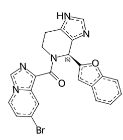 O=C(c1ncn2ccc(Br)cc12)N1CCc2[nH]cnc2[C@H]1c1cc2ccccc2o1